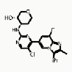 Cc1nc2c(Cl)cc(-c3nc(N[C@@H]4CCOC[C@H]4O)ncc3Cl)cn2c1C(C)C